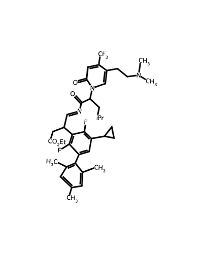 CCOC(=O)CC(/C=N/C(=O)C(CC(C)C)n1cc(CCN(C)C)c(C(F)(F)F)cc1=O)c1c(F)c(-c2c(C)cc(C)cc2C)cc(C2CC2)c1F